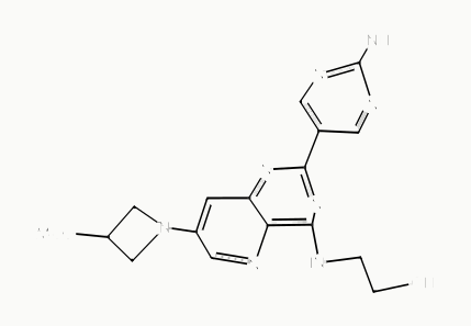 COC1CN(c2cnc3c(NCCO)nc(-c4cnc(N)nc4)nc3c2)C1